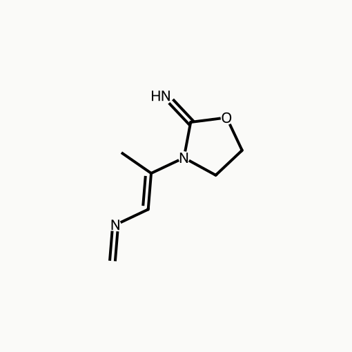 C=N/C=C(\C)N1CCOC1=N